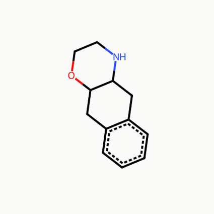 c1ccc2c(c1)CC1NCCOC1C2